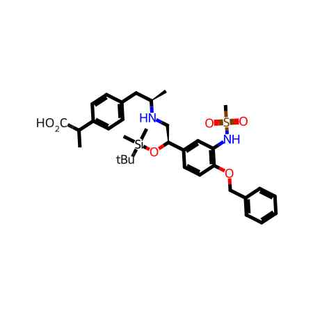 CC(C(=O)O)c1ccc(C[C@@H](C)NC[C@H](O[Si](C)(C)C(C)(C)C)c2ccc(OCc3ccccc3)c(NS(C)(=O)=O)c2)cc1